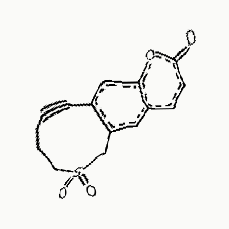 O=c1ccc2cc3c(cc2o1)C#CCCS(=O)(=O)C3